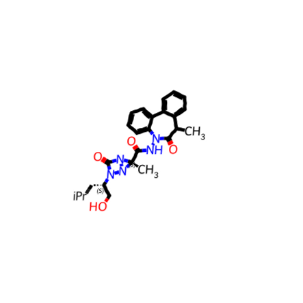 CC(C)C[C@@H](CO)n1c(=O)n2n1[C@@]2(C)C(=O)NN1C(=O)C(C)c2ccccc2-c2ccccc21